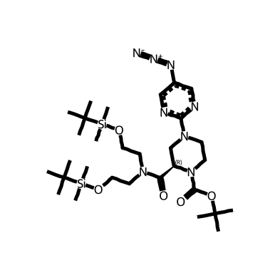 CC(C)(C)OC(=O)N1CCN(c2ncc(N=[N+]=[N-])cn2)C[C@@H]1C(=O)N(CCO[Si](C)(C)C(C)(C)C)CCO[Si](C)(C)C(C)(C)C